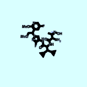 COCC(c1cc(F)cnc1OC)n1cc(NC(=O)C(NC(=O)C(N)/C(C)=N\O)C(C2CC2)C2CC2)c(F)n1